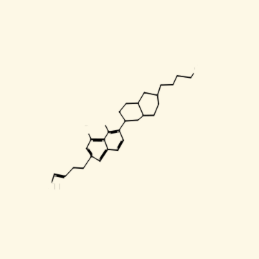 CC=CCCc1cc(F)c2c(F)c(C3CCC4CC(CCCCC)CCC4C3)ccc2c1